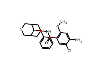 COc1cc(N)c(Cl)cc1C(=O)NC1CC2CSCC(C1)N2Cc1ccccc1